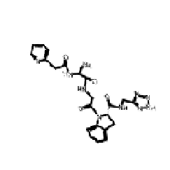 CCC(C)C(NC(=O)Cc1ccccn1)C(=O)NCC(=O)N1c2ccccc2C[C@H]1C(=O)NCc1nn[nH]n1